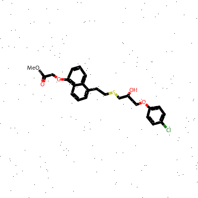 COC(=O)COc1cccc2c(CCSCC(O)COc3ccc(Cl)cc3)cccc12